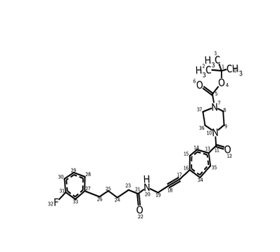 CC(C)(C)OC(=O)N1CCN(C(=O)c2ccc(C#CCNC(=O)CCCCc3cccc(F)c3)cc2)CC1